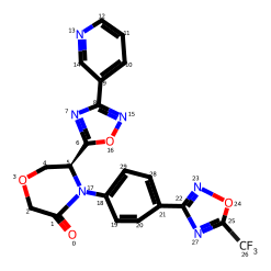 O=C1COC[C@@H](c2nc(-c3cccnc3)no2)N1c1ccc(-c2noc(C(F)(F)F)n2)cc1